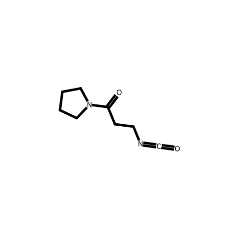 O=C=NCCC(=O)N1CCCC1